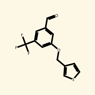 O=Cc1cc(OCc2ccsc2)cc(C(F)(F)F)c1